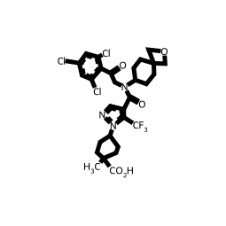 CC1(C(=O)O)CCC(n2ncc(C(=O)N(CC(=O)c3c(Cl)cc(Cl)cc3Cl)C3CCC4(CC3)COC4)c2C(F)(F)F)CC1